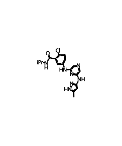 Cc1cc(Nc2cncc(Nc3ccc(Cl)c(C(=O)NC(C)C)c3)n2)n[nH]1